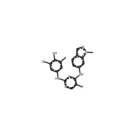 Cc1cc(Nc2ncc(F)c(Nc3ccc4cnn(C)c4c3)n2)cc(Cl)c1O